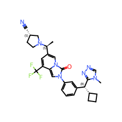 C[C@@H](c1cc(C(F)(F)F)c2cn(-c3cccc([C@H](c4nncn4C)C4CCC4)c3)c(=O)n2c1)N1CC[C@H](C#N)C1